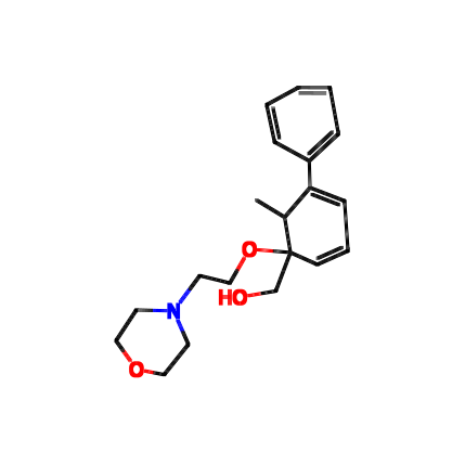 CC1C(c2ccccc2)=CC=CC1(CO)OCCN1CCOCC1